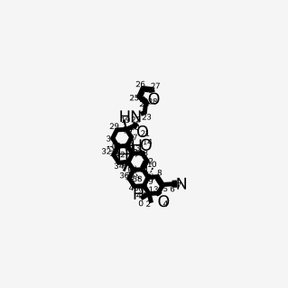 CC1(C)C(=O)C(C#N)=C[C@]2(C)C3=CC(=O)[C@@H]4[C@@H]5C[C@@](C)(C(=O)NCc6ccco6)CC[C@]5(C)CC[C@@]4(C)[C@]3(C)CC[C@@H]12